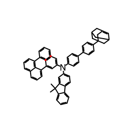 CC1(C)c2ccccc2-c2ccc(N(c3ccc(-c4ccc(C56CC7=CC(CC(C7)C5)C6)cc4)cc3)c3cccc(-c4cccc5cccc(-c6ccccc6)c45)c3)cc21